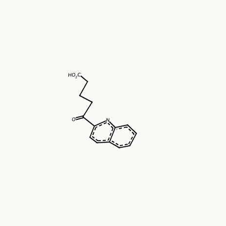 O=C(O)CCCC(=O)c1ccc2ccccc2n1